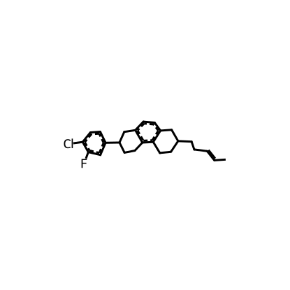 CC=CCCC1CCc2c(ccc3c2CCC(c2ccc(Cl)c(F)c2)C3)C1